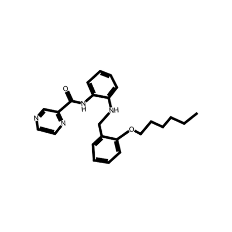 CCCCCCOc1ccccc1CNc1ccccc1NC(=O)c1cnccn1